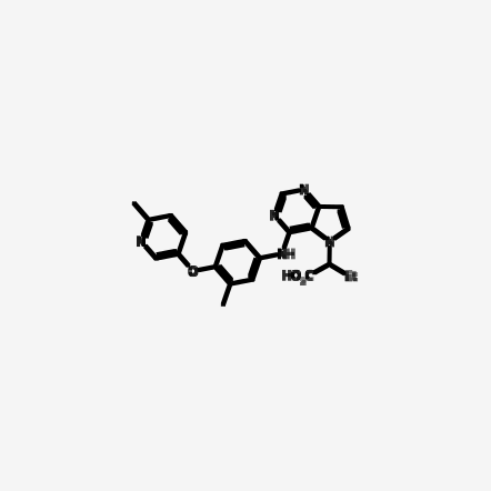 CCC(C(=O)O)n1ccc2ncnc(Nc3ccc(Oc4ccc(C)nc4)c(C)c3)c21